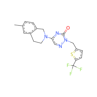 Cc1ccc2c(c1)CCN(c1cnn(Cc3ccc(C(F)(F)F)s3)c(=O)n1)C2